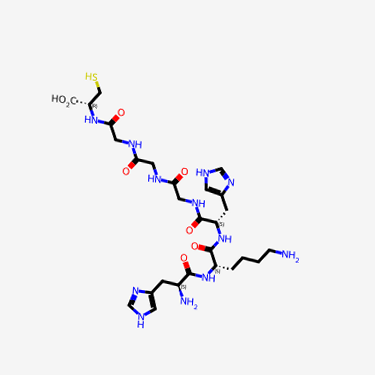 NCCCC[C@H](NC(=O)[C@@H](N)Cc1c[nH]cn1)C(=O)N[C@@H](Cc1c[nH]cn1)C(=O)NCC(=O)NCC(=O)NCC(=O)N[C@@H](CS)C(=O)O